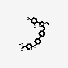 CCn1cc(-c2ccc(Cl)cc2Cl)nc1Cc1ccc(-c2ccc(Oc3ccc(C(=O)OC)cn3)cc2)cc1